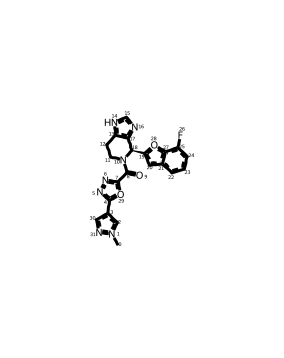 Cn1cc(-c2nnc(C(=O)N3CCc4[nH]cnc4[C@H]3c3cc4cccc(F)c4o3)o2)cn1